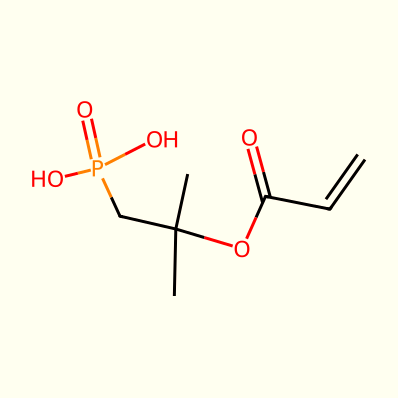 C=CC(=O)OC(C)(C)CP(=O)(O)O